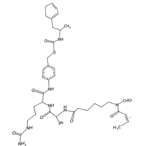 C/C=C\C(=O)N(C=O)CCCCCC(=O)NC(C(=O)NC(CCCNC(N)=O)C(=O)Nc1ccc(COC(=O)NC(C)CC2=CC=CCC2)cc1)C(C)C